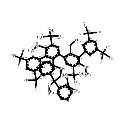 CCC[C@@H](NCc1c(-c2cc(C(C)(C)C)c(OC)c(-c3cc(C(F)(F)F)cc(C(F)(F)F)c3)c2CC)cc(C(C)(C)C)c(OC)c1-c1cc(C(F)(F)F)cc(C(F)(F)F)c1)C(OC)(c1ccccc1)c1ccccc1